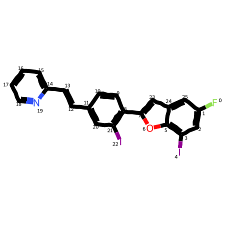 Fc1cc(I)c2oc(-c3ccc(C=Cc4ccccn4)cc3I)cc2c1